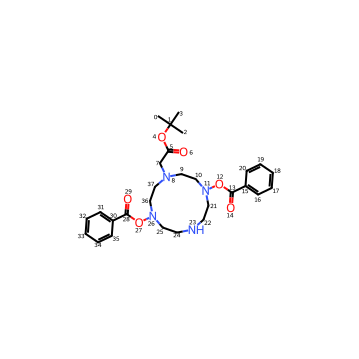 CC(C)(C)OC(=O)CN1CCN(OC(=O)c2ccccc2)CCNCCN(OC(=O)c2ccccc2)CC1